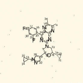 Cc1nc2nc(N3CC(c4cnn(C5CC5)c4)OC(C4CC4)C3)nc(-c3ccc(F)cc3F)c2nc1C